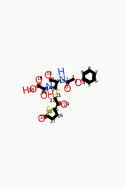 O=C(COc1ccccc1)N[C@@H]1C(=O)N([C@@H](O)C(=O)O)[C@@H]1SCC(=O)[C@H]1CCC(=O)S1